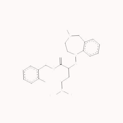 CCN1CCN(NC(CCN(C)C)C(=O)NCc2ccccc2C(F)(F)F)c2ccccc2C1